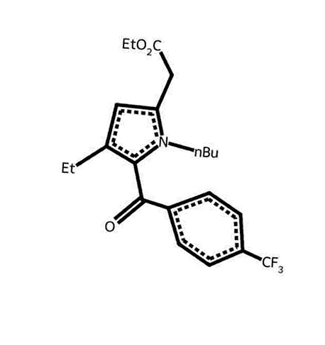 CCCCn1c(CC(=O)OCC)cc(CC)c1C(=O)c1ccc(C(F)(F)F)cc1